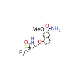 COc1cc2c(OC[C@@H]3C[C@](F)(CC(F)(F)F)C(=O)N3)cccc2cc1C(N)=O